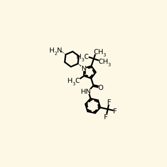 Cc1c(C(=O)Nc2cccc(C(F)(F)F)c2)cc(C(C)(C)C)n1[C@H]1CC[C@@H](N)CC1